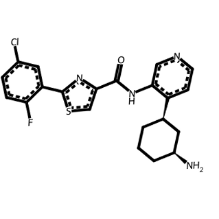 N[C@H]1CCC[C@@H](c2ccncc2NC(=O)c2csc(-c3cc(Cl)ccc3F)n2)C1